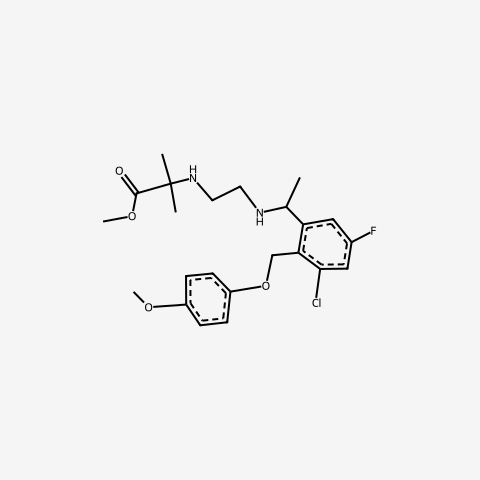 COC(=O)C(C)(C)NCCNC(C)c1cc(F)cc(Cl)c1COc1ccc(OC)cc1